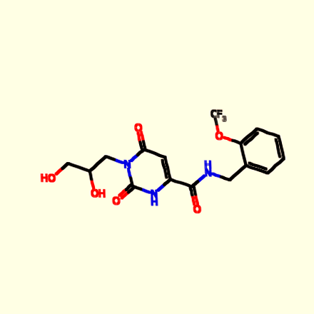 O=C(NCc1ccccc1OC(F)(F)F)c1cc(=O)n(CC(O)CO)c(=O)[nH]1